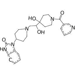 O=C(c1cccnc1)N1CCC(O)(C(O)CN2CCC(n3c(=O)[nH]c4ccccc43)CC2)CC1